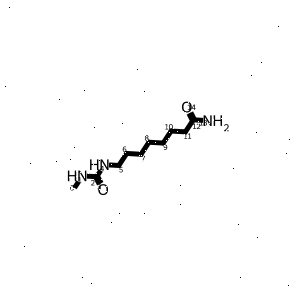 CNC(=O)NCCCCCCCC(N)=O